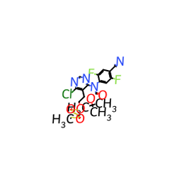 CC(C)(C)OC(=O)N(c1cc(F)c(C#N)cc1F)c1ncnc(Cl)c1CCOS(C)(=O)=O